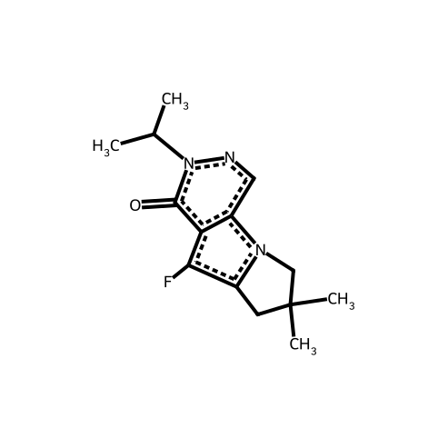 CC(C)n1ncc2c(c(F)c3n2CC(C)(C)C3)c1=O